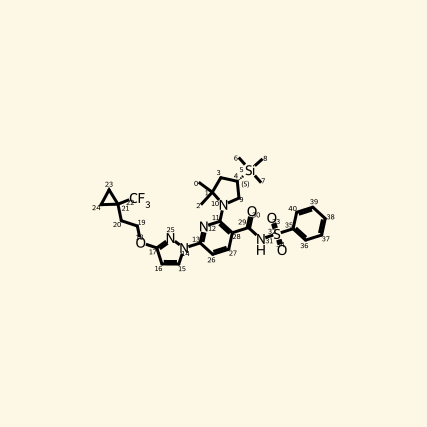 CC1(C)C[C@H]([Si](C)(C)C)CN1c1nc(-n2ccc(OCCC3(C(F)(F)F)CC3)n2)ccc1C(=O)NS(=O)(=O)c1ccccc1